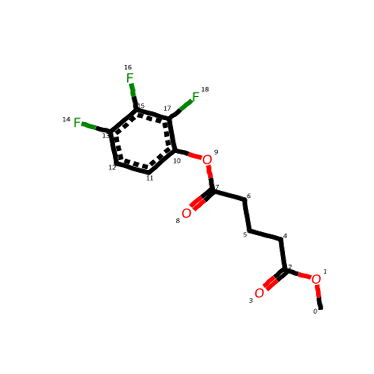 COC(=O)CCCC(=O)Oc1ccc(F)c(F)c1F